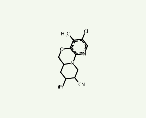 Cc1c(Cl)cnc2c1OCC1CC(C(C)C)C(C#N)CN21